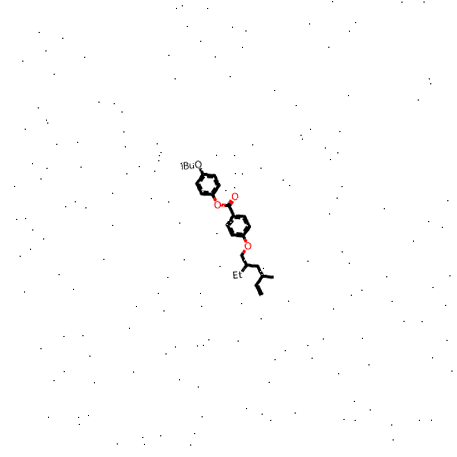 C=CC(C)CC(CC)COc1ccc(C(=O)Oc2ccc(OCC(C)C)cc2)cc1